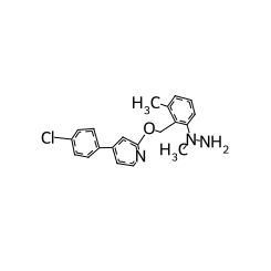 Cc1cccc(N(C)N)c1COc1cc(-c2ccc(Cl)cc2)ccn1